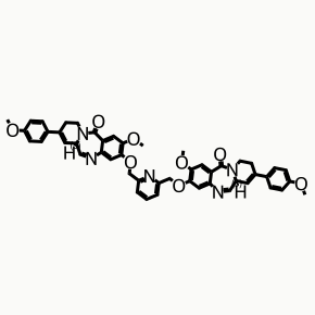 COc1ccc(C2=C[C@H]3C=Nc4cc(OCc5cccc(COc6cc7c(cc6OC)C(=O)N6CCC(c8ccc(OC)cc8)=C[C@H]6C=N7)n5)c(OC)cc4C(=O)N3CC2)cc1